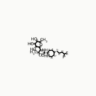 C[C@H](Cl)[C@@H](NC(=O)[C@@H]1CC[C@H](CCCC(F)F)CCN1)[C@H]1O[C@H](C)[C@H](O)[C@@H](O)[C@H]1O